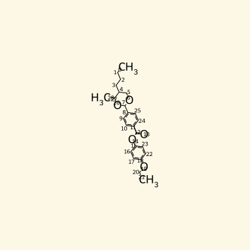 CCCCC1COC(c2ccc(C(=O)Oc3ccc(OCC)cc3)cc2)OC1C